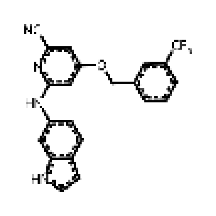 N#Cc1cc(OCc2cccc(C(F)(F)F)c2)cc(Nc2ccc3cc[nH]c3c2)n1